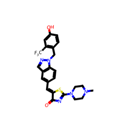 CN1CCN(C2=NC(=O)/C(=C/c3ccc4c(cnn4Cc4ccc(O)cc4C(F)(F)F)c3)S2)CC1